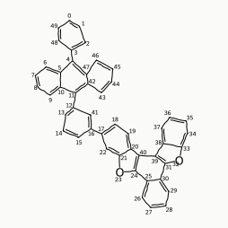 c1ccc(-c2c3ccccc3c(-c3cccc(-c4ccc5c(c4)oc4c6ccccc6c6oc7ccccc7c6c54)c3)c3ccccc23)cc1